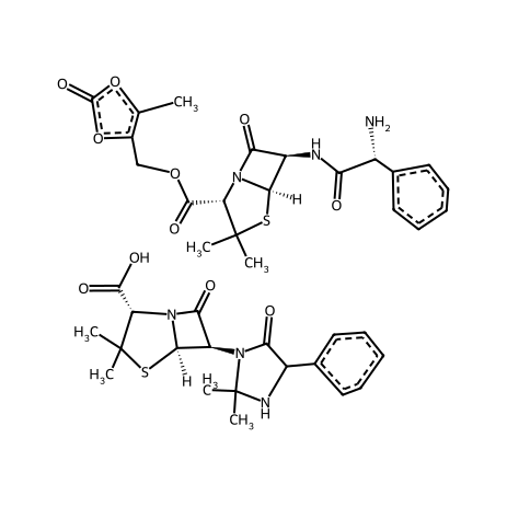 CC1(C)S[C@@H]2[C@H](N3C(=O)C(c4ccccc4)NC3(C)C)C(=O)N2[C@H]1C(=O)O.Cc1oc(=O)oc1COC(=O)[C@@H]1N2C(=O)[C@@H](NC(=O)[C@H](N)c3ccccc3)[C@H]2SC1(C)C